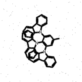 Cc1cc(-n2c3ccccc3c3ccccc32)c(-n2c3ccccc3c3ccccc32)c(-n2c3ccccc3c3ccccc32)c1